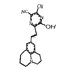 N#Cc1nc(O)c(/C=C/c2cc3c4c(c2)CCCN4CCC3)nc1C#N